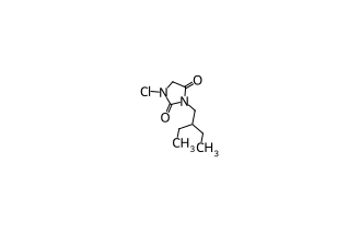 CCC(CC)CN1C(=O)CN(Cl)C1=O